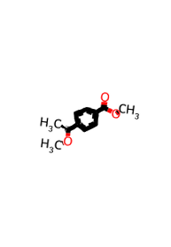 COC(=O)c1ccc([C@H](C)OC)cc1